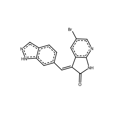 O=C1Nc2ncc(Br)cc2/C1=C\c1ccc2cn[nH]c2c1